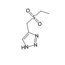 CCS(=O)(=O)Cc1c[nH]nn1